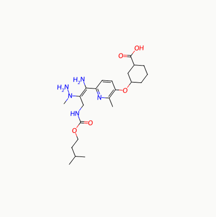 Cc1nc(/C(N)=C(\CNC(=O)OCCC(C)C)N(C)N)ccc1OC1CCCC(C(=O)O)C1